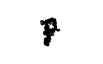 Cc1c(CN(C)/C(=C/C=O)c2cnc3c(c2)CCC(=O)N3COP(=O)(OCN2C(=O)CCc3cc(/C(=C\C=O)N(C)Cc4oc5ccccc5c4C)cnc32)OCN2C(=O)CCc3cc(/C(=C\C=O)N(C)Cc4oc5ccccc5c4C)cnc32)oc2ccccc12